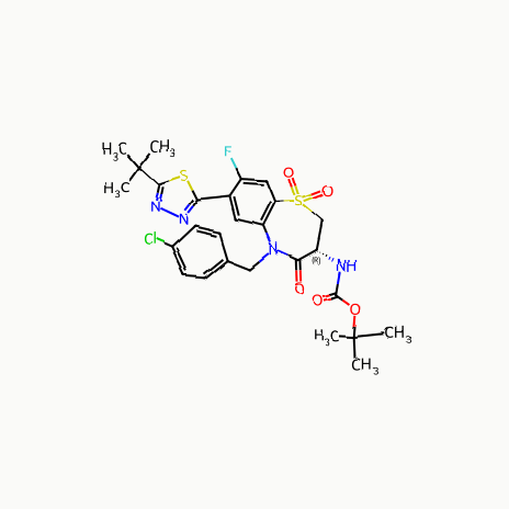 CC(C)(C)OC(=O)N[C@H]1CS(=O)(=O)c2cc(F)c(-c3nnc(C(C)(C)C)s3)cc2N(Cc2ccc(Cl)cc2)C1=O